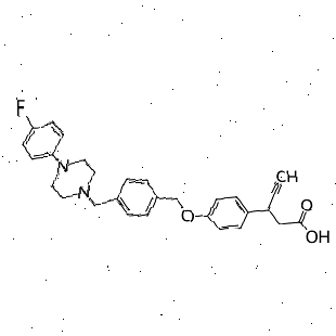 C#CC(CC(=O)O)c1ccc(OCc2ccc(CN3CCN(c4ccc(F)cc4)CC3)cc2)cc1